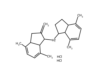 C=C1CC2C(C)=CC=C(C)C2[CH]1[Hf][CH]1CCC2C(C)=CC=C(C)C12.Cl.Cl